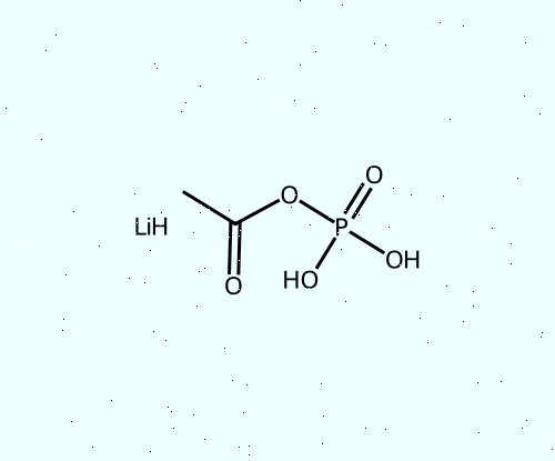 CC(=O)OP(=O)(O)O.[LiH]